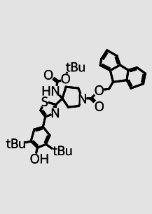 CC(C)(C)OC(=O)NC1(c2nc(-c3cc(C(C)(C)C)c(O)c(C(C)(C)C)c3)cs2)CCN(C(=O)OCC2c3ccccc3-c3ccccc32)CC1